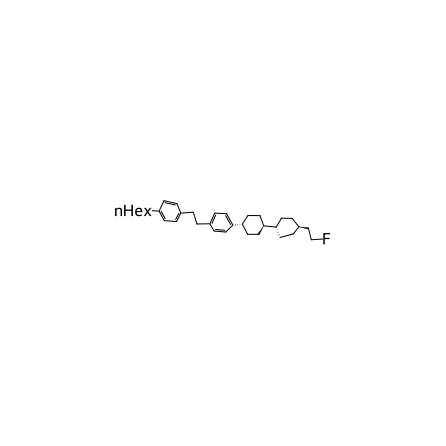 CCCCCCc1ccc(CCc2ccc([C@H]3CC[C@H]([C@H]4CC[C@H](CCF)CC4)CC3)cc2)cc1